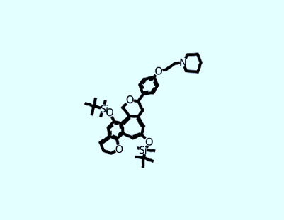 CC(C)(C)[Si](C)(C)OC1=Cc2c3c(cc(O[Si](C)(C)C(C)(C)C)c2=C2COC(c4ccc(OCCN5CCCCC5)cc4)CC2=C1)=CCCO3